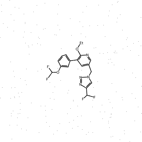 CCOc1ncc(Cn2cc(C(F)F)nn2)cc1-c1cccc(OC(F)F)c1